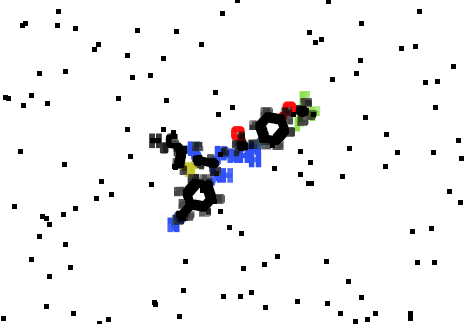 Cc1csc(C(=NNC(=O)Nc2ccc(OC(F)(F)F)cc2)Nc2ccc(C#N)cc2)n1